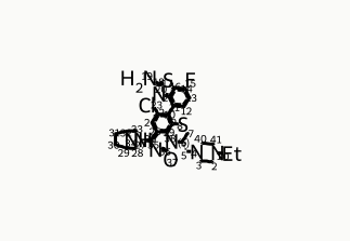 CCN1CCN(C[C@H]2CSc3c(-c4ccc(F)c5sc(N)nc45)c(Cl)cc4c(N5CC6CCC(C5)N6)nc(=O)n2c34)CC1